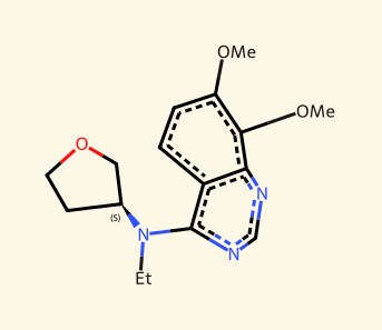 CCN(c1ncnc2c(OC)c(OC)ccc12)[C@H]1CCOC1